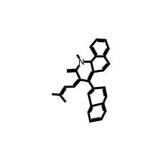 C=C1/C(=C\C=C(C)C)C(c2ccc3ccccc3c2)=C2C=Cc3ccccc3C2N1C